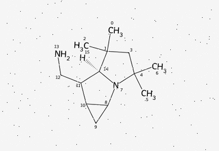 CC1(C)CC(C)(C)N2C3CC3C(CN)[C@H]21